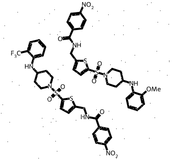 COc1ccccc1NC1CCN(S(=O)(=O)c2ccc(CNC(=O)c3ccc([N+](=O)[O-])cc3)s2)CC1.O=C(NCc1ccc(S(=O)(=O)N2CCC(Nc3ccccc3C(F)(F)F)CC2)s1)c1ccc([N+](=O)[O-])cc1